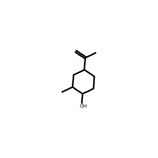 C=C(C)C1CCC(O)C(C)C1